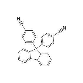 N#Cc1ccc(C2(c3ccc(C#N)cc3)c3ccccc3-c3ccccc32)cc1